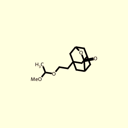 COC(C)OCCC12CC3CC(C1)OC(=O)C(C3)C2